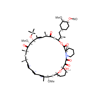 CO[C@H]1C[C@@H]2CC[C@@H](C)[C@@](O)(O2)C(=O)C(=O)N2CCCC[C@H]2C(=O)OC([C@H](C)C[C@@H]2CC[C@@H](ON=O)[C@H](OC)C2)CC(=O)[C@H](C)/C=C(\C)[C@@H](O[Si](C)(C)C)[C@@H](OC)C(=O)[C@H](C)C[C@H](C)/C=C/C=C/C=C/1C